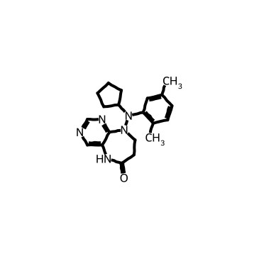 Cc1ccc(C)c(N(C2CCCC2)N2CCC(=O)Nc3cncnc32)c1